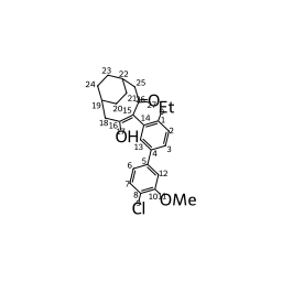 CCc1ccc(-c2ccc(Cl)c(OC)c2)cc1/C1=C(\O)CC2CCC(CC2)CC1=O